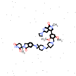 COc1cc(-c2cn(C)c(=O)c3cnc(N4CCC4)cc23)cc(OC)c1CN1CCC(CN2CCC3(CC2)CN(c2ccc4c(c2)C(=O)N([C@@]2(C)CCC(=O)NC2=O)C4)C3)CC1